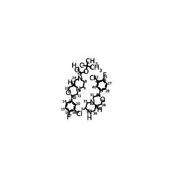 CC(C)(C)OC(=O)N1CCN2C[C@@H](c3ccc(F)c(Cl)c3)OC[C@@H]2C1.Fc1ccc([C@@H]2CN3CCNC[C@H]3CO2)cc1Cl